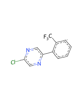 FC(F)(F)c1[c]cccc1-c1cnc(Cl)cn1